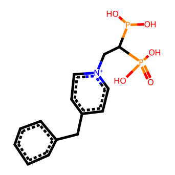 O=P(O)(O)C(C[n+]1ccc(Cc2ccccc2)cc1)P(O)O